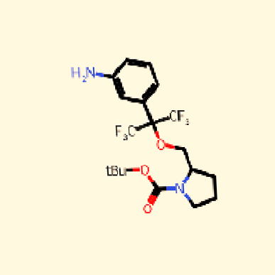 CC(C)(C)OC(=O)N1CCCC1COC(c1cccc(N)c1)(C(F)(F)F)C(F)(F)F